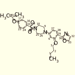 CCCCOc1cc(N2CCN(S(=O)(=O)c3ccc(OC(C)C)cc3)CC2)ccc1-c1ncco1